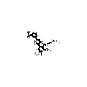 COCCOC(=O)C1=C(C)NC(C)=CC1c1ccc(-c2cccc([N+](=O)[O-])c2)nc1